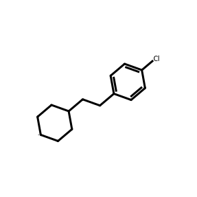 Clc1ccc(CCC2CC[CH]CC2)cc1